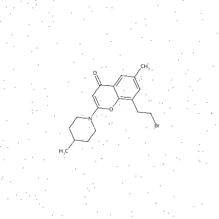 Cc1cc(CCBr)c2oc(N3CCC(C)CC3)cc(=O)c2c1